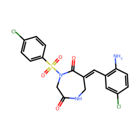 Nc1ccc(Cl)cc1C=C1CNC(=O)CN(S(=O)(=O)c2ccc(Cl)cc2)C1=O